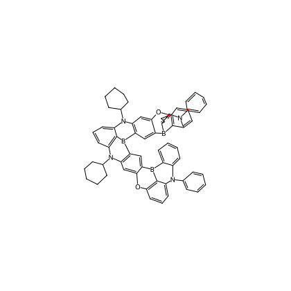 c1ccc(N2c3ccccc3B3c4cc5c(cc4Oc4cccc2c43)N(C2CCCCC2)c2cccc3c2B5c2cc4c(cc2N3C2CCCCC2)Oc2cccc3c2B4c2ccccc2N3c2ccccc2)cc1